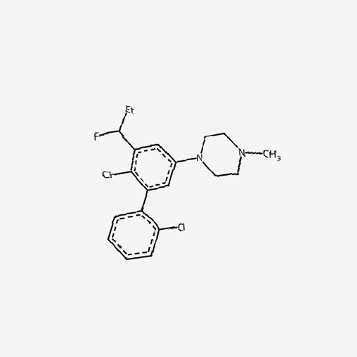 CCC(F)c1cc(N2CCN(C)CC2)cc(-c2ccccc2Cl)c1Cl